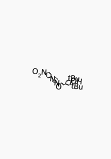 CC(C)(C)c1cc(C=CC(=O)N2CCN(c3ccc([N+](=O)[O-])cc3)CC2)cc(C(C)(C)C)c1O